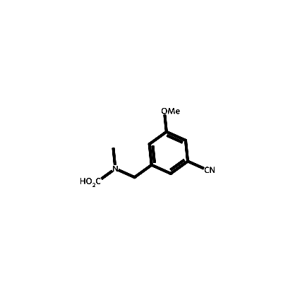 COc1cc(C#N)cc(CN(C)C(=O)O)c1